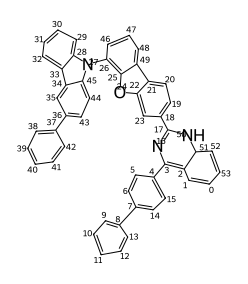 C1=CC2=C(c3ccc(-c4ccccc4)cc3)N=C(c3ccc4c(c3)oc3c(-n5c6ccccc6c6cc(-c7ccccc7)ccc65)cccc34)NC2C=C1